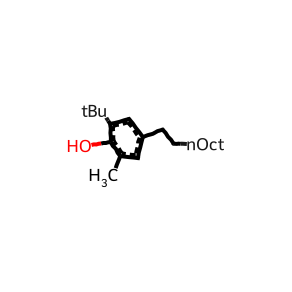 CCCCCCCCCCc1cc(C)c(O)c(C(C)(C)C)c1